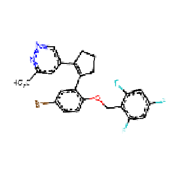 O=C(O)c1cc(C2=C(c3cc(Br)ccc3OCc3c(F)cc(F)cc3F)CCC2)cnn1